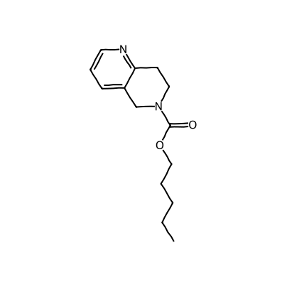 CCCCCOC(=O)N1CCc2ncccc2C1